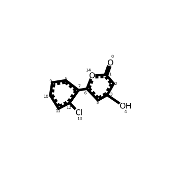 O=c1cc(O)cc(-c2ccccc2Cl)o1